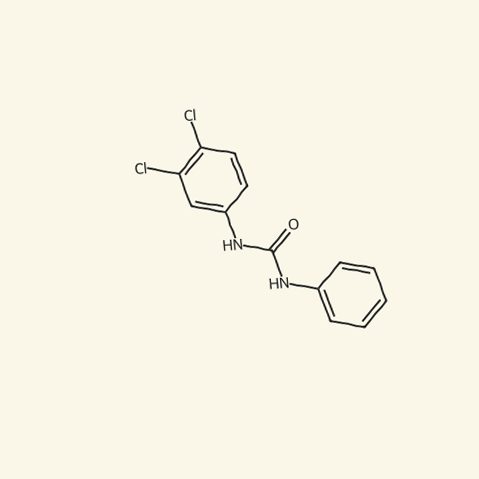 O=C(Nc1ccccc1)Nc1ccc(Cl)c(Cl)c1